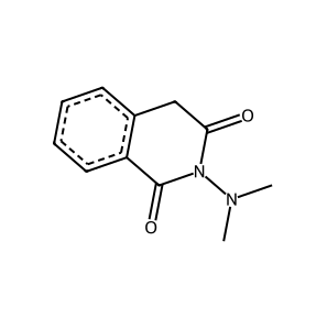 CN(C)N1C(=O)Cc2ccccc2C1=O